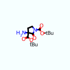 CC(C)(C)OC(=O)N1CCC(N)(C(=O)OC(C)(C)C)C1=O